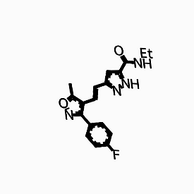 CCNC(=O)c1cc(/C=C/c2c(-c3ccc(F)cc3)noc2C)n[nH]1